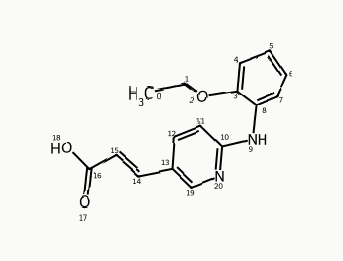 CCOc1ccccc1Nc1ccc(C=CC(=O)O)cn1